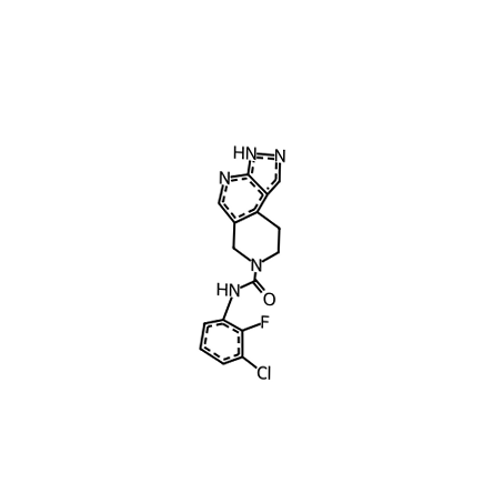 O=C(Nc1cccc(Cl)c1F)N1CCc2c(cnc3[nH]ncc23)C1